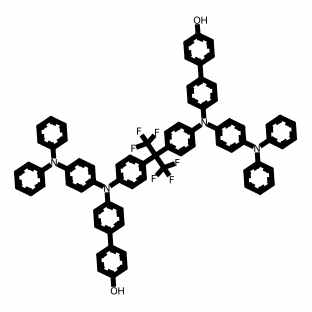 Oc1ccc(-c2ccc(N(c3ccc(N(c4ccccc4)c4ccccc4)cc3)c3ccc(C(c4ccc(N(c5ccc(-c6ccc(O)cc6)cc5)c5ccc(N(c6ccccc6)c6ccccc6)cc5)cc4)(C(F)(F)F)C(F)(F)F)cc3)cc2)cc1